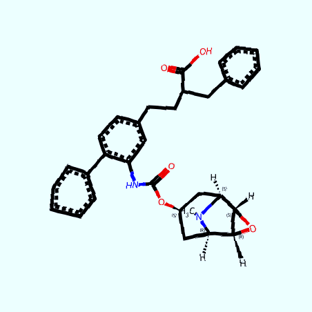 CN1[C@@H]2C[C@@H](OC(=O)Nc3cc(CCC(Cc4ccccc4)C(=O)O)ccc3-c3ccccc3)C[C@H]1[C@@H]1O[C@@H]12